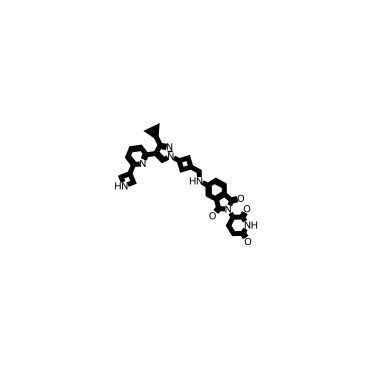 O=C1CCC(N2C(=O)c3ccc(NCC4CC(n5cc(-c6cccc(C7CNC7)n6)c(C6CC6)n5)C4)cc3C2=O)C(=O)N1